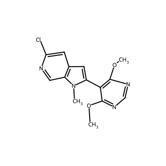 COc1n[c]nc(OC)c1-c1cc2cc(Cl)ncc2n1C